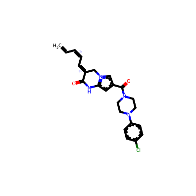 C=C/C=C\C=C1/Cn2cc(C(=O)N3CCN(c4ccc(Cl)cc4)CC3)cc2NC1=O